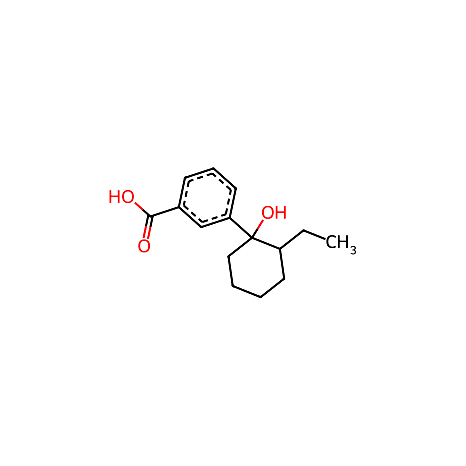 CCC1CCCCC1(O)c1cccc(C(=O)O)c1